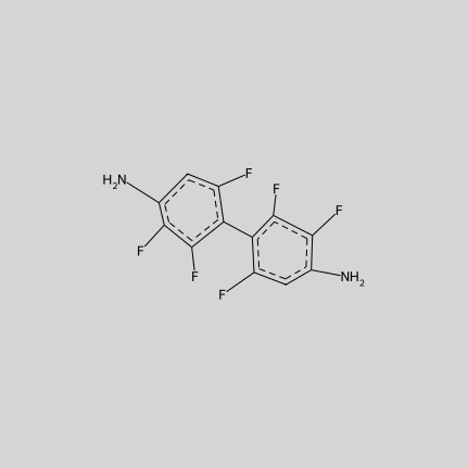 Nc1cc(F)c(-c2c(F)cc(N)c(F)c2F)c(F)c1F